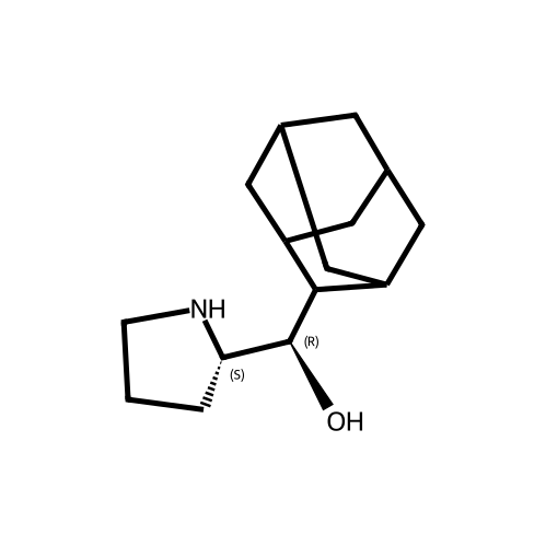 O[C@H](C1C2CC3CC(C2)CC1C3)[C@@H]1CCCN1